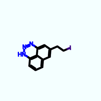 ICCc1cc2c3c(cccc3c1)NN=N2